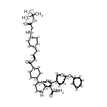 CC(C)(C)OC(=O)CNN1CCN(C/C=C/C(=O)N2CCC([C@@H]3CCNc4c(C(N)=O)c(-c5ccc(Oc6ccccc6)cc5)nn43)CC2)CC1